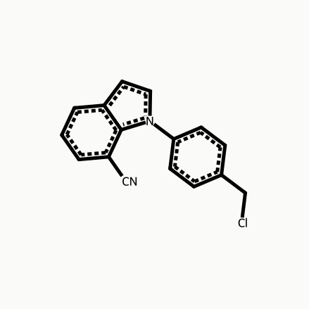 N#Cc1cccc2ccn(-c3ccc(CCl)cc3)c12